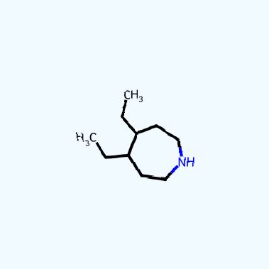 CCC1CCNCCC1CC